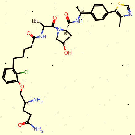 Cc1ncsc1-c1ccc([C@H](C)NC(=O)[C@@H]2C[C@@H](O)CN2C(=O)C(NC(=O)CCCCc2cccc(OC[C@@H](N)CCC(N)=O)c2Cl)C(C)(C)C)cc1